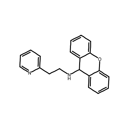 c1ccc(CCNC2c3ccccc3Oc3ccccc32)nc1